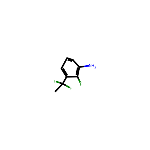 CC(F)(F)c1cccc(N)c1F